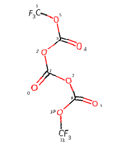 O=C(OC(=O)OC(F)(F)F)OC(=O)OC(F)(F)F